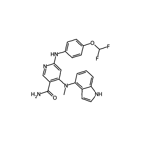 CN(c1cc(Nc2ccc(OC(F)F)cc2)ncc1C(N)=O)c1cccc2[nH]ccc12